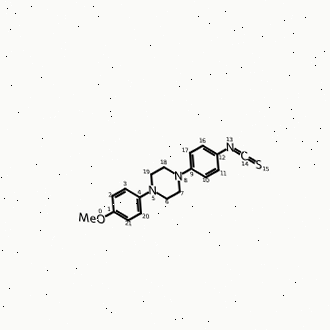 COc1ccc(N2CCN(c3ccc(N=C=S)cc3)CC2)cc1